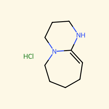 C1=C2NCCCN2CCCC1.Cl